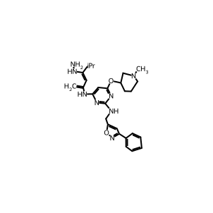 C=C(/C=C(\NN)C(C)C)Nc1cc(OC2CCCN(C)C2)nc(NCc2cc(-c3ccccc3)no2)n1